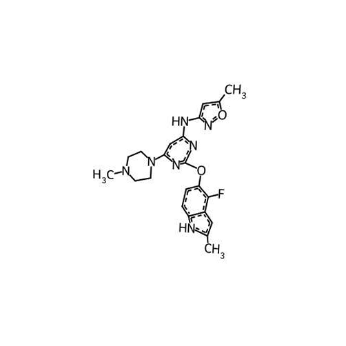 Cc1cc2c(F)c(Oc3nc(Nc4cc(C)on4)cc(N4CCN(C)CC4)n3)ccc2[nH]1